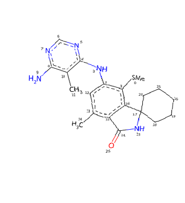 CSc1c(Nc2ncnc(N)c2C)cc(C)c2c1C1(CCCCC1)NC2=O